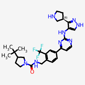 CC(C)(C)C1CCN(C(=O)NCc2ccc(-c3ccnc(Nc4c[nH]nc4[C@@H]4CCNC4)n3)cc2C(F)(F)F)C1